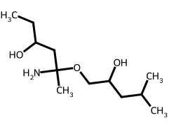 CCC(O)CC(C)(N)OCC(O)CC(C)C